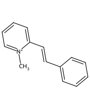 C[n+]1ccccc1C=Cc1ccccc1